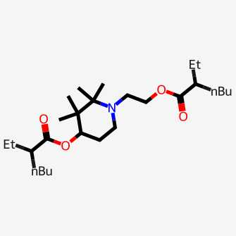 CCCCC(CC)C(=O)OCCN1CCC(OC(=O)C(CC)CCCC)C(C)(C)C1(C)C